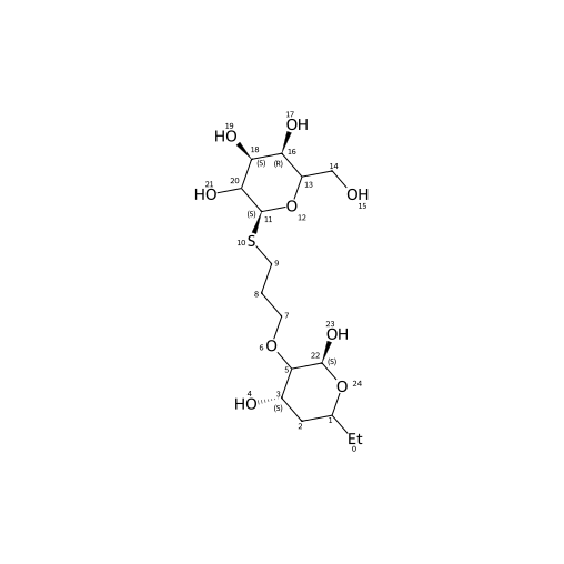 CCC1C[C@H](O)C(OCCCS[C@@H]2OC(CO)[C@H](O)[C@H](O)C2O)[C@@H](O)O1